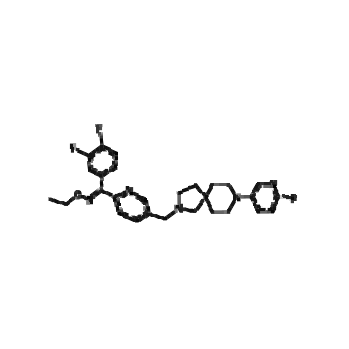 CCON=C(c1ccc(F)c(F)c1)c1ccc(CN2CCC3(CCN(c4ccc(F)nc4)CC3)C2)cn1